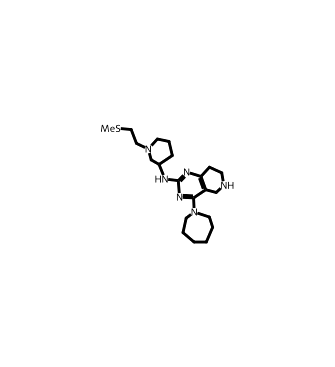 CSCCN1CCCC(Nc2nc3c(c(N4CCCCCC4)n2)CNCC3)C1